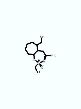 NC1=N[SH](=O)(CO)NC2CCCCC(CO)C2C1